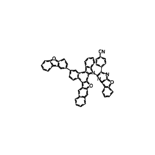 N#Cc1ccc(-c2nc3oc4ccccc4c3nc2-n2c3ccccc3c3c4cc(-c5ccc6oc7ccccc7c6c5)ccc4c4c5cc6ccccc6cc5oc4c32)cc1